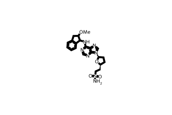 COC1Cc2ccccc2C1Nc1ncnc2c1ncn2[C@H]1CC[C@@H](CCS(N)(=O)=O)O1